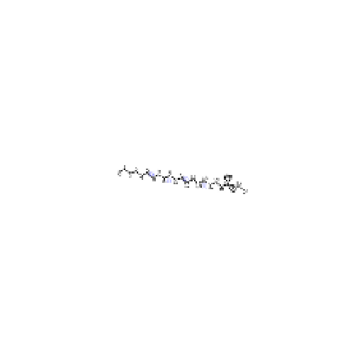 CCCCC/C=C/C/C=C/C/C=C/C/C=C/CCCC(=O)OCC